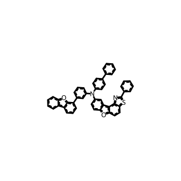 c1ccc(-c2ccc(N(c3cccc(-c4cccc5c4oc4ccccc45)c3)c3ccc4oc5ccc6sc(-c7ccccc7)nc6c5c4c3)cc2)cc1